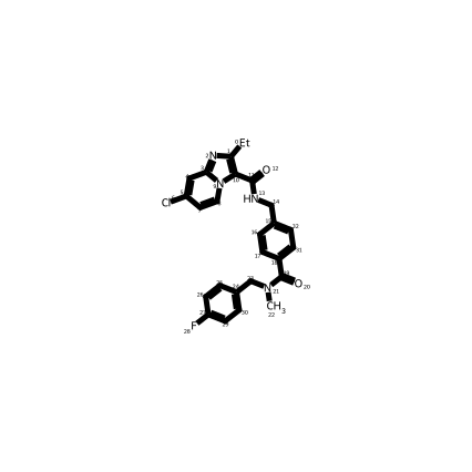 CCc1nc2cc(Cl)ccn2c1C(=O)NCc1ccc(C(=O)N(C)Cc2ccc(F)cc2)cc1